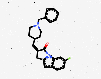 O=C1C(=CC2CCN(Cc3ccccc3)CC2)Cc2cc3ccc(F)cc3n21